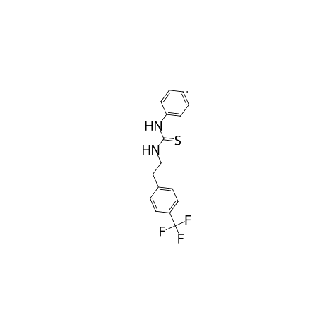 FC(F)(F)c1ccc(CCNC(=S)Nc2cc[c]cc2)cc1